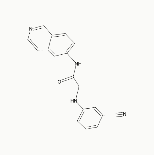 N#Cc1cccc(NCC(=O)Nc2ccc3cnccc3c2)c1